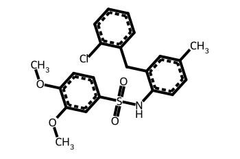 COc1ccc(S(=O)(=O)Nc2ccc(C)cc2Cc2ccccc2Cl)cc1OC